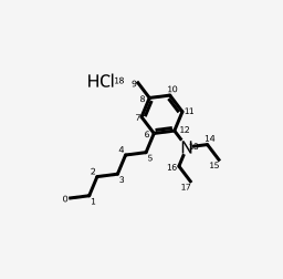 CCCCCCc1cc(C)ccc1N(CC)CC.Cl